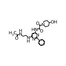 CC(=O)NCCNc1cc(NC(=O)C(=O)N2CCC(O)CC2)nc(-c2ccccc2)n1